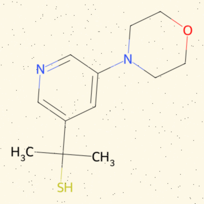 CC(C)(S)c1cncc(N2CCOCC2)c1